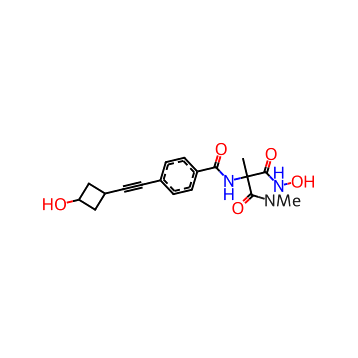 CNC(=O)C(C)(NC(=O)c1ccc(C#CC2CC(O)C2)cc1)C(=O)NO